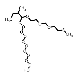 CCC(C)C(OCCOCOCCSC)OOOOOOOOOOO